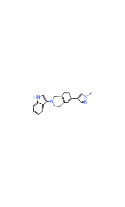 Cn1cc(-c2ccc3c(c2)CCN(c2c[nH]c4ccccc24)C3)cn1